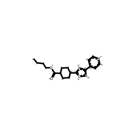 CCCCOC(=O)C1CCC(c2nc(-c3ccncc3)no2)CC1